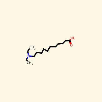 CCN(CC)CCCCCCCCCCC(=O)O